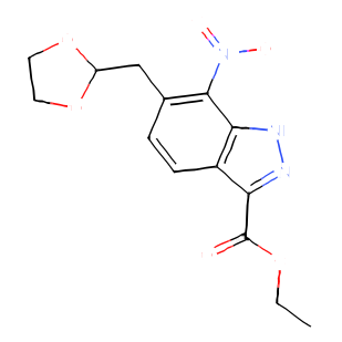 CCOC(=O)c1n[nH]c2c([N+](=O)[O-])c(CC3OCCO3)ccc12